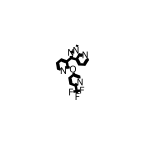 Cn1nc(-c2cccnc2Oc2ccc(C(F)(F)F)nc2)c2cccnc21